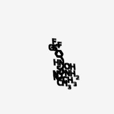 Cc1nnc2sc(C(O)NCc3ccc([S+]([O-])C(F)F)cc3)c(N)c2c1C